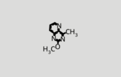 COc1nc(C)c2ncccc2n1